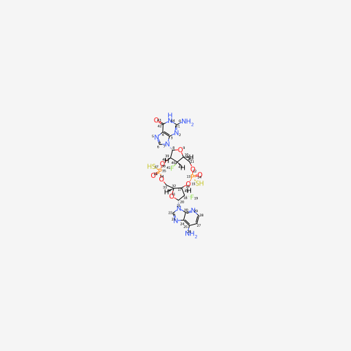 Nc1nc2c(ncn2[C@@H]2O[C@@H]3CO[P@@](=O)(S)O[C@H]4[C@H](F)[C@H](n5cnc6c(N)ccnc65)O[C@@H]4COP(=O)(S)O[C@@H]2[C@H]3F)c(=O)[nH]1